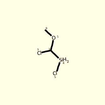 COC(Cl)[SiH2]Cl